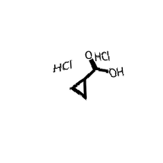 Cl.Cl.O=C(O)C1CC1